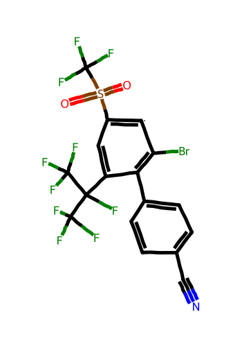 N#Cc1ccc(-c2c(Br)[c]c(S(=O)(=O)C(F)(F)F)cc2C(F)(C(F)(F)F)C(F)(F)F)cc1